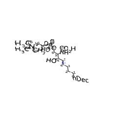 CCCCCCCCCCCCC/C=C/C(O)C(COP(=O)(O)OCC[N+](C)(C)C)NC(=O)O